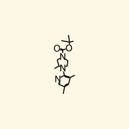 Cc1cnc(N2CCN(C(=O)OC(C)(C)C)CC2C)c(C)c1